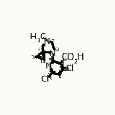 CN1CCN(c2nc(Cl)cc(Cl)c2C(=O)O)C2(CC2)C1